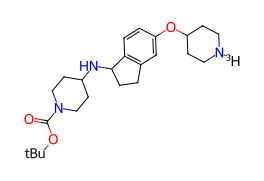 [3H]N1CCC(Oc2ccc3c(c2)CCC3NC2CCN(C(=O)OC(C)(C)C)CC2)CC1